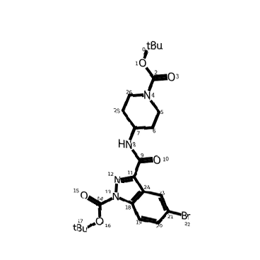 CC(C)(C)OC(=O)N1CCC(NC(=O)c2nn(C(=O)OC(C)(C)C)c3ccc(Br)cc23)CC1